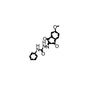 COc1ccc2c(=O)c(=NNC(=O)Nc3ccccc3)c(=O)c2c1